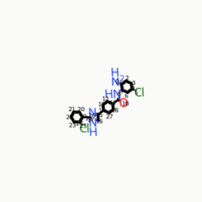 Nc1ccc(Cl)cc1NC(=O)c1ccc(-c2c[nH]c(-c3ccccc3Cl)n2)cc1